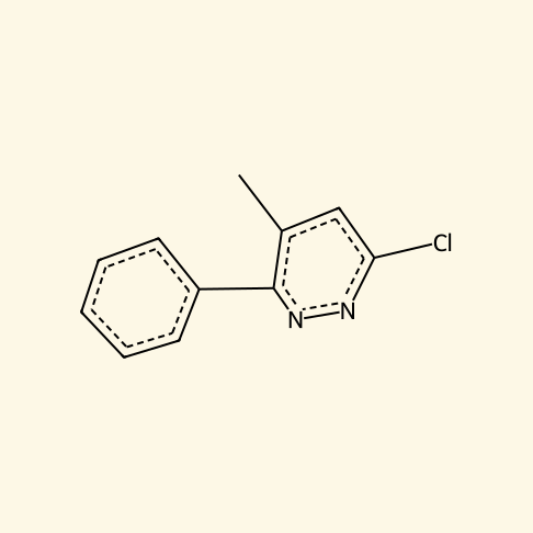 Cc1cc(Cl)nnc1-c1ccccc1